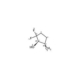 C[C@@H]1CCC(F)(F)[C@@H]1O